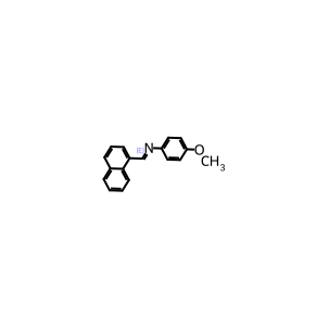 COc1ccc(/N=C/c2cccc3ccccc23)cc1